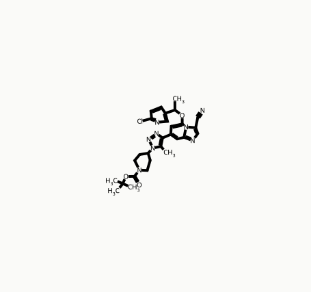 Cc1c(-c2cc(OC(C)c3ccc(Cl)nc3)n3c(C#N)cnc3c2)nnn1C1CCN(C(=O)OC(C)(C)C)CC1